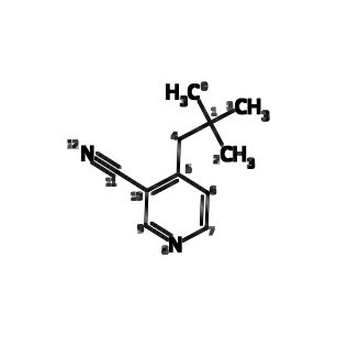 CC(C)(C)Cc1ccncc1C#N